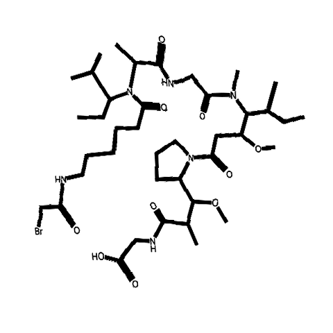 CCC(C)C(C(CC(=O)N1CCCC1C(OC)C(C)C(=O)NCC(=O)O)OC)N(C)C(=O)CNC(=O)C(C)N(C(=O)CCCCCNC(=O)CBr)C(CC)C(C)C